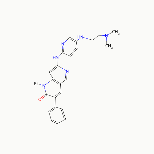 CCn1c(=O)c(-c2ccccc2)cc2cnc(Nc3ccc(NCCN(C)C)cn3)cc21